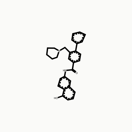 O=C(Nc1ccc2c(O)cccc2c1)c1ccc(-c2ccccc2)c(CN2CCCCC2)c1